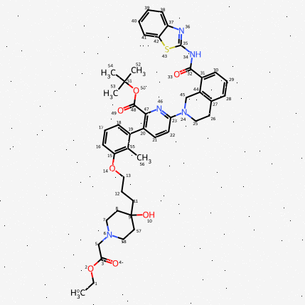 CCOC(=O)CN1CCC(O)(CCCOc2cccc(-c3ccc(N4CCc5cccc(C(=O)Nc6nc7ccccc7s6)c5C4)nc3C(=O)OC(C)(C)C)c2C)CC1